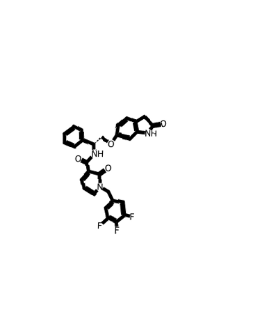 O=C1Cc2ccc(OC[C@H](NC(=O)c3cccn(Cc4cc(F)c(F)c(F)c4)c3=O)c3ccccc3)cc2N1